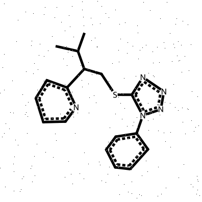 CC(C)C(CSc1nnnn1-c1ccccc1)c1ccccn1